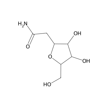 NC(=O)CC1OC(CO)C(O)C1O